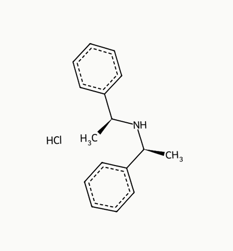 C[C@H](N[C@@H](C)c1ccccc1)c1ccccc1.Cl